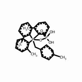 Cc1ccc(CP(OP(=O)(O)O)(c2ccccc2C)(c2ccccc2C)c2ccccc2C)cc1